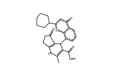 COC(=O)C1=C(C)NC2=C(C(=O)OC2)C1c1cccc2c(=O)cc(C3CCCCC3)oc12